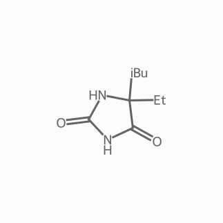 CCC(C)C1(CC)NC(=O)NC1=O